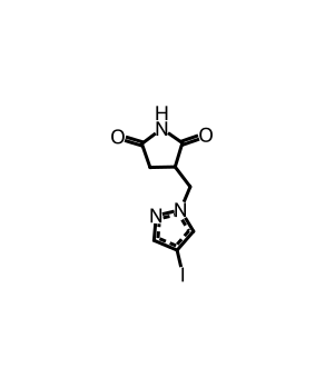 O=C1CC(Cn2cc(I)cn2)C(=O)N1